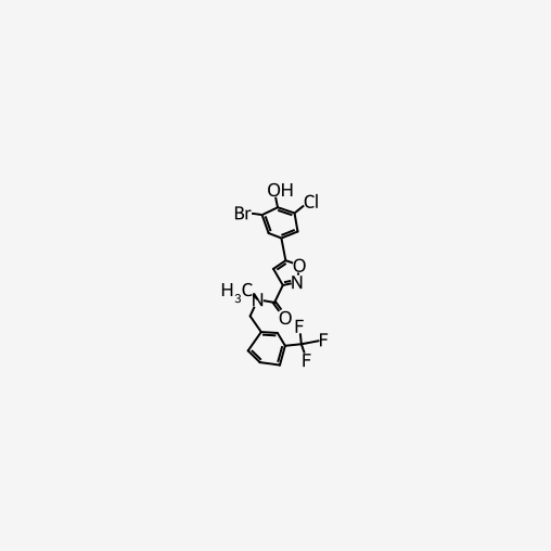 CN(Cc1cccc(C(F)(F)F)c1)C(=O)c1cc(-c2cc(Cl)c(O)c(Br)c2)on1